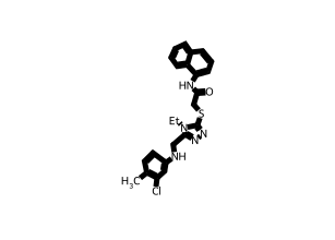 CCn1c(CNc2ccc(C)c(Cl)c2)nnc1SCC(=O)Nc1cccc2ccccc12